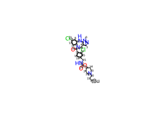 Cn1ncc2c1Nc1cc(Cl)ccc1N(C(=O)c1ccc(CNC(=O)OC3CCN(CCC(C)(C)C)CC3)cc1Cl)C2